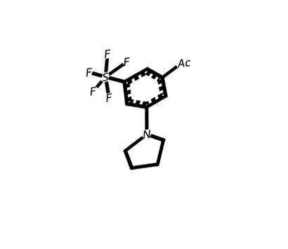 CC(=O)c1cc(N2CCCC2)cc(S(F)(F)(F)(F)F)c1